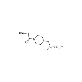 CCOC(=O)[C@H](C)CC1CCN(C(=O)OC(C)(C)C)CC1